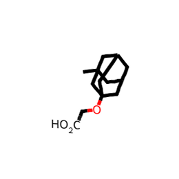 CC12CC3CC(C1)CC(OCC(=O)O)(C3)C2